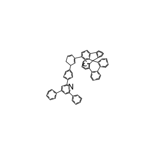 C1=CC(c2ccc3c(c2)C2(c4ccccc4-c4ccccc4-c4ccccc42)c2ccccc2-3)=CC(c2ccc(-c3cc(-c4ccccc4)cc(-c4ccccc4)n3)cc2)C1